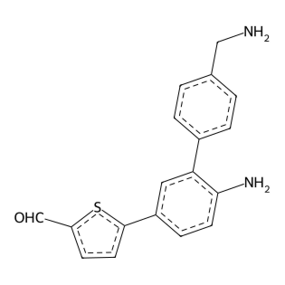 NCc1ccc(-c2cc(-c3ccc(C=O)s3)ccc2N)cc1